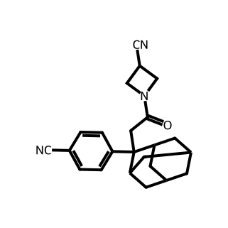 N#Cc1ccc(C2(CC(=O)N3CC(C#N)C3)C3CC4CC(C3)CC2C4)cc1